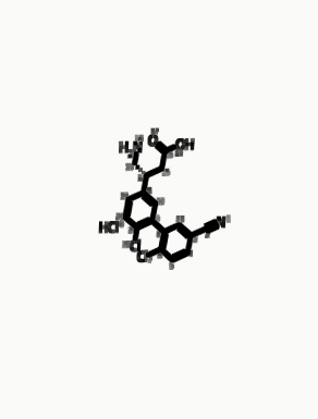 Cl.N#Cc1ccc(Cl)c(-c2cc([C@H](CN)CC(=O)O)ccc2Cl)c1